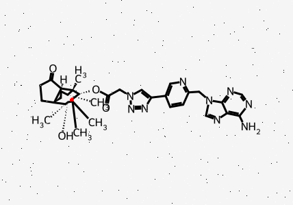 C[C@@H]1CC[C@@]23CCC(=O)[C@H]2[C@]1(C)[C@H](OC(=O)Cn1cc(-c2ccc(Cn4cnc5c(N)ncnc54)nc2)nn1)CC(C)(C)[C@@H](O)[C@@H]3C